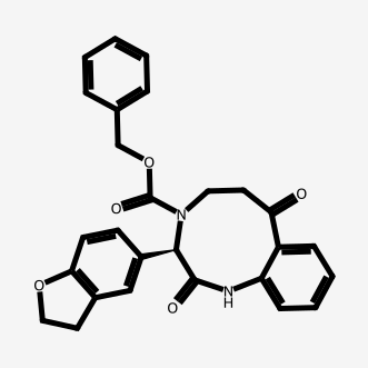 O=C1CCN(C(=O)OCc2ccccc2)[C@H](c2ccc3c(c2)CCO3)C(=O)Nc2ccccc21